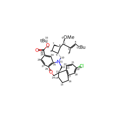 CO[C@@H](/C(C)=C/C(C)(C)C)[C@@H]1CC[C@H]1CN1C[C@@]2(CCCc3cc(Cl)ccc32)COc2ccc(C(=O)OC(C)(C)C)cc21